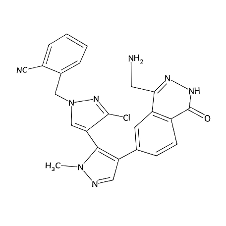 Cn1ncc(-c2ccc3c(=O)[nH]nc(CN)c3c2)c1-c1cn(Cc2ccccc2C#N)nc1Cl